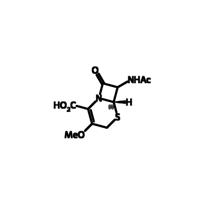 COC1=C(C(=O)O)N2C(=O)C(NC(C)=O)[C@@H]2SC1